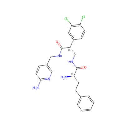 Nc1ccc(CNC(=O)[C@@H](CNC(=O)[C@H](N)CCc2ccccc2)c2ccc(Cl)c(Cl)c2)cn1